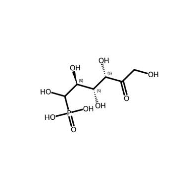 O=C(CO)[C@@H](O)[C@H](O)[C@H](O)C(O)P(=O)(O)O